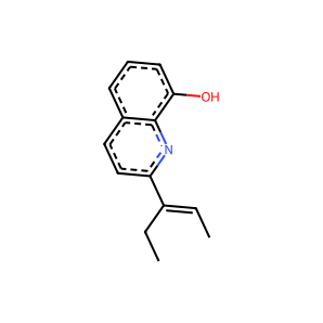 CC=C(CC)c1ccc2cccc(O)c2n1